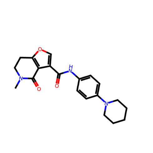 CN1CCc2occ(C(=O)Nc3ccc(N4CCCCC4)cc3)c2C1=O